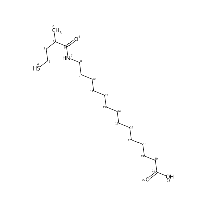 CC(CCS)C(=O)NCCCCCCCCCCCCCC(=O)O